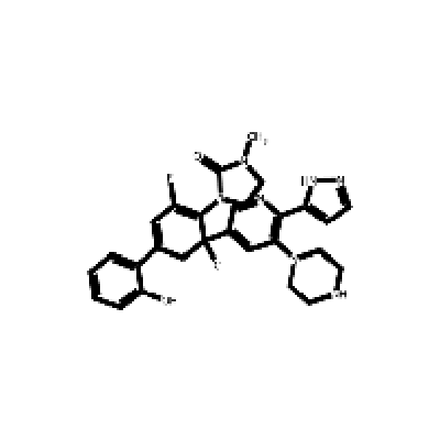 CN1CCN(C2=C(F)C=C(c3ccccc3O)CC2(Cl)c2cnc(-c3ccn[nH]3)c(N3CCNCC3)c2)C1=O